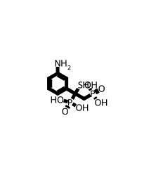 Nc1cccc(C(S)(CP(=O)(O)O)P(=O)(O)O)c1